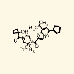 CC(C)c1cc(-c2ccccc2)nn2cc(C(=O)N3CCN(C(=O)C4(O)CCC4)CC3(C)C)nc12